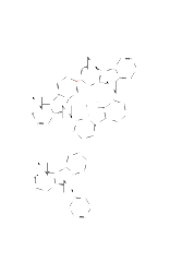 c1ccc(-n2c3ccc(-c4cc(-n5c6ccccc6c6ncccc65)c5oc6c(-n7c8ccccc8c8ncccc87)cccc6c5c4)cc3c3ncccc32)cc1